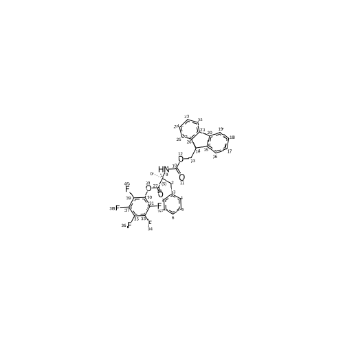 C[C@@](Cc1ccccc1)(NC(=O)OCC1c2ccccc2-c2ccccc21)C(=O)Oc1c(F)c(F)c(F)c(F)c1F